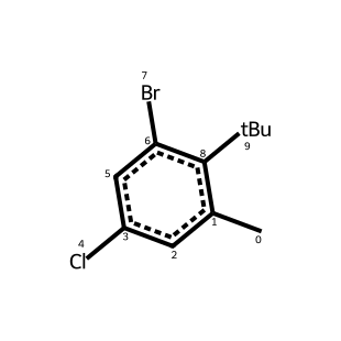 Cc1cc(Cl)cc(Br)c1C(C)(C)C